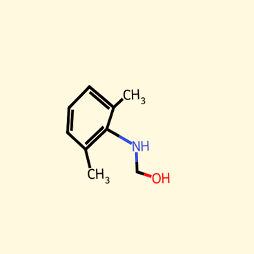 Cc1cccc(C)c1NCO